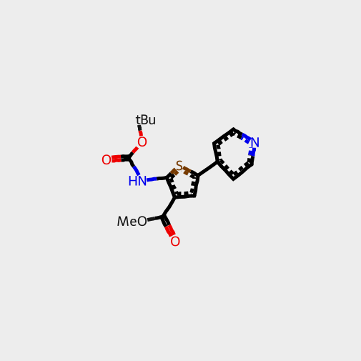 COC(=O)c1cc(-c2ccncc2)sc1NC(=O)OC(C)(C)C